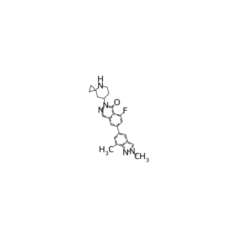 Cc1cc(-c2cc(F)c3c(=O)n(C4CCNC5(CC5)C4)ncc3c2)cc2cn(C)nc12